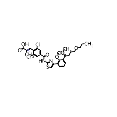 CCCOCCCC(OC)c1cccc(-c2csc(NC(=O)c3cc(Cl)c(/C=C(\C)C(=O)O)c(Cl)c3)n2)c1OC